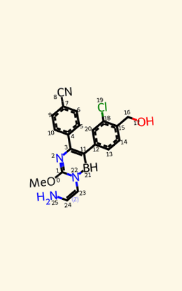 COC1=NC(c2ccc(C#N)cc2)=C(c2ccc(CO)c(Cl)c2)BN1/C=C\N